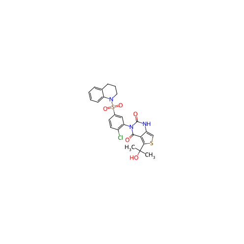 CC(C)(O)c1scc2[nH]c(=O)n(-c3cc(S(=O)(=O)N4CCCc5ccccc54)ccc3Cl)c(=O)c12